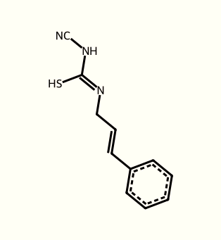 N#CNC(S)=NCC=Cc1ccccc1